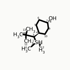 C[SiH](C)C([C@H]1CC[C@H](O)CC1)C(C)(C)C